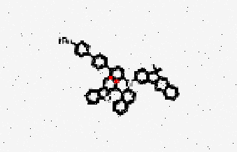 CC(C)(C)c1ccc(-c2ccc(-c3ccc(N(c4ccc5c(c4)-c4cc6ccccc6cc4C5(C)C)c4ccc5ccccc5c4-c4cccc5c4oc4ccccc45)cc3)cc2)cc1